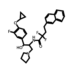 O=C(NC(CN1CCCC1)C(O)c1ccc(OC2CC2)c(F)c1)C(F)(F)CCc1ccc2ccccc2c1